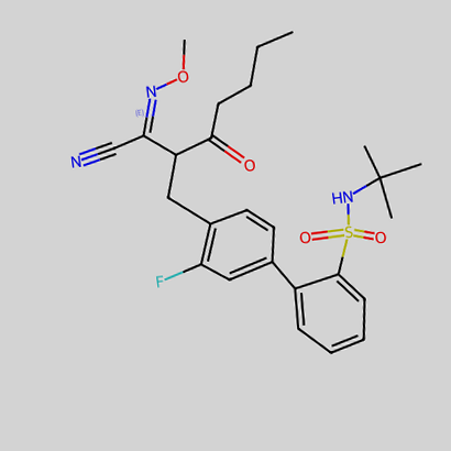 CCCCC(=O)C(Cc1ccc(-c2ccccc2S(=O)(=O)NC(C)(C)C)cc1F)/C(C#N)=N\OC